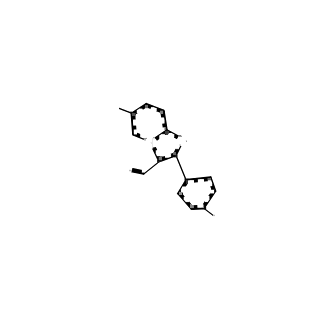 O=Cc1c(-c2ccc(F)cc2)nc2ccc(Br)cn12